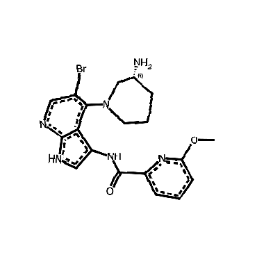 COc1cccc(C(=O)Nc2c[nH]c3ncc(Br)c(N4CCC[C@@H](N)C4)c23)n1